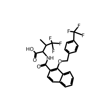 CC(C(NC(=O)c1ccc2ccccc2c1OCc1ccc(C(F)(F)F)cc1)C(=O)O)C(F)(F)F